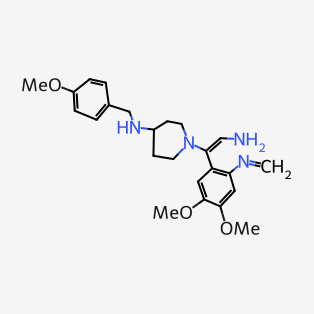 C=Nc1cc(OC)c(OC)cc1/C(=C\N)N1CCC(NCc2ccc(OC)cc2)CC1